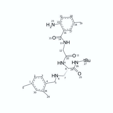 Cc1ccc(CNC[C@H](NC(=O)CNC(=O)c2cc(C)ccc2N)C(=O)NC(C)(C)C)c(C)c1